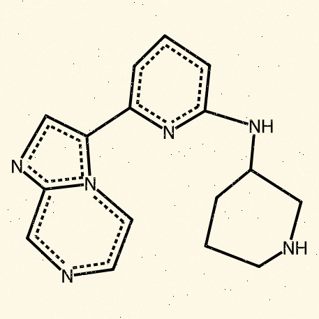 c1cc(NC2CCCNC2)nc(-c2cnc3cnccn23)c1